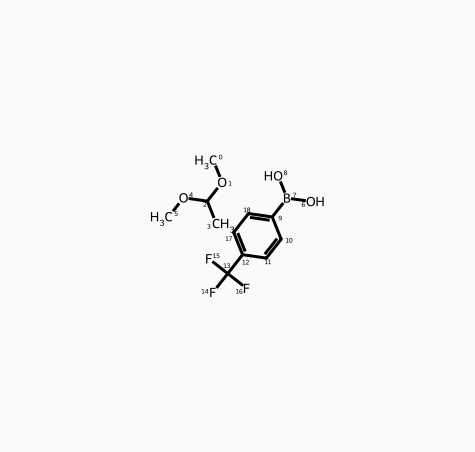 COC(C)OC.OB(O)c1ccc(C(F)(F)F)cc1